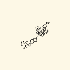 CC(C)Oc1ccc2cc(CCS(=O)(=O)N(OC(=O)C(F)(F)F)C(C(=O)N3C4CCC3CC(N)C4)C(F)(F)c3ccc(Br)cc3)ccc2c1